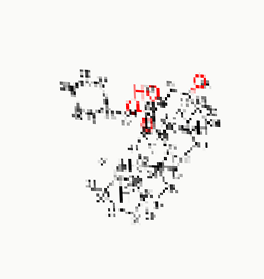 C[C@@H]1[C@H]2[C@H]3CC[C@@H]4[C@]5(C)[C@@H](CC[C@@]4(C)[C@]3(C)CC[C@@]2(C)CC[C@H]1C)C(C)(C)C(=O)CC5(O)C(=O)OCc1ccccc1